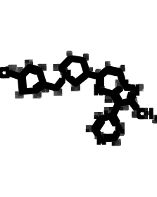 Cc1nn2ccc(C3CCCN(Cc4ccc(Cl)cc4)C3)nc2c1-c1ccncn1